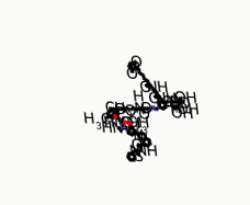 C/C(NCC12CC3(C)CC(C)(C1)CC(OCCOCCNC(=O)OC/C=C/c1ccc(O[C@H]4C[C@@H](O)[C@H](O)[C@@H](C(=O)O)O4)c(NC(=O)CCNC(=O)CCCCCN4C(=O)C=CC4=O)c1)(C3)C2)=C(/C=N)c1ccc(N2CCc3cccc(C(=O)Nc4nc5ccccc5s4)c3C2)nc1C(=O)O